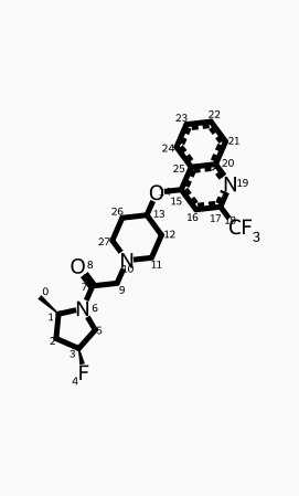 C[C@@H]1C[C@H](F)CN1C(=O)CN1CCC(Oc2cc(C(F)(F)F)nc3ccccc23)CC1